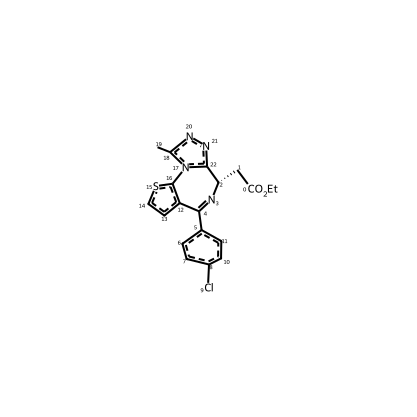 CCOC(=O)C[C@@H]1N=C(c2ccc(Cl)cc2)c2ccsc2-n2c(C)nnc21